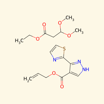 C=CCOC(=O)c1c[nH]nc1-c1nccs1.CCOC(=O)CC(OC)OC